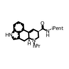 CCC[C@@H](C)NC(=O)[C@@H]1C=C2c3cccc4[nH]cc(c34)C[C@H]2N(CCC)C1